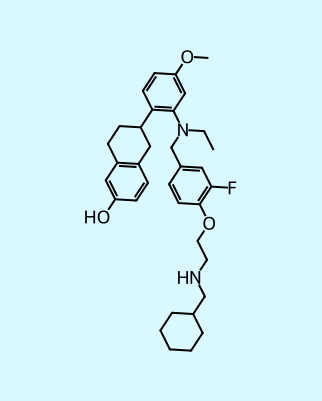 CCN(Cc1ccc(OCCNCC2CCCCC2)c(F)c1)c1cc(OC)ccc1C1CCc2cc(O)ccc2C1